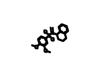 COc1ccc(S(=O)(=O)NC2CCCc3ccccc32)cc1OC